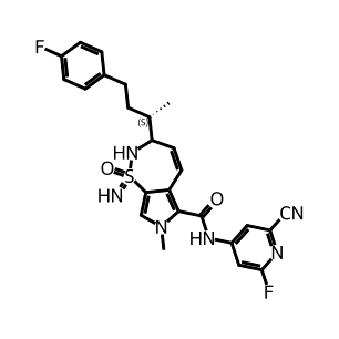 C[C@@H](CCc1ccc(F)cc1)C1C=Cc2c(cn(C)c2C(=O)Nc2cc(F)nc(C#N)c2)S(=N)(=O)N1